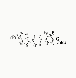 CCCCOc1ccc(C2CCC(C3CCC4C(CCC)CCC34)CC2)c(F)c1F